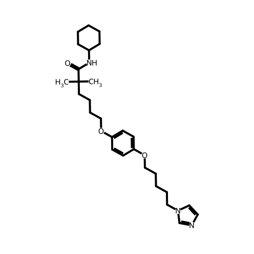 CC(C)(CCCCOc1ccc(OCCCCCn2ccnc2)cc1)C(=O)NC1CCCCC1